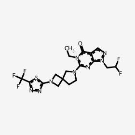 CCn1c(N2CCC3(CN(c4nnc(C(F)(F)F)s4)C3)C2)nc2c(cnn2CC(F)F)c1=O